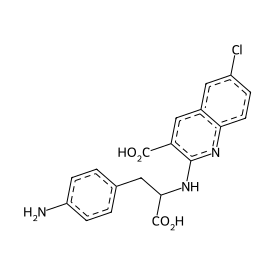 Nc1ccc(CC(Nc2nc3ccc(Cl)cc3cc2C(=O)O)C(=O)O)cc1